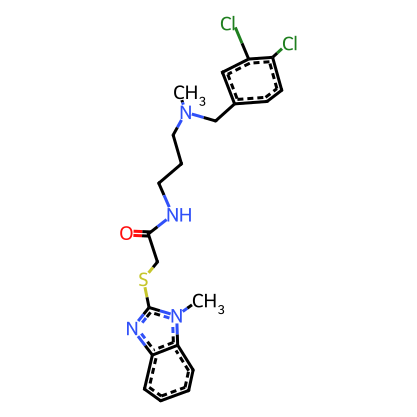 CN(CCCNC(=O)CSc1nc2ccccc2n1C)Cc1ccc(Cl)c(Cl)c1